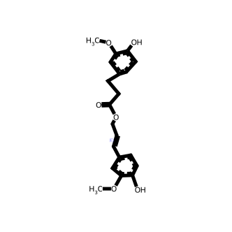 COc1cc(/C=C/COC(=O)CCc2ccc(O)c(OC)c2)ccc1O